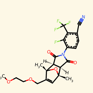 COCCOCC1=C[C@]2(C)O[C@@]1(C)[C@H]1C(=O)N(c3ccc(C#N)c(C(F)(F)F)c3F)C(=O)[C@H]12